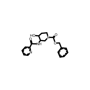 O=C(NC1CN(C(=O)OCc2ccccc2)CCC1O)c1ccccn1